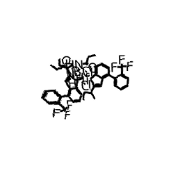 CCC(=O)N[B](NC(=O)CC)[Hf]([Cl])([Cl])([CH]1C(C(C)CC)=Cc2c(-c3ccccc3C(F)(F)F)cccc21)[CH]1C(C(C)CC)=Cc2c(-c3ccccc3C(F)(F)F)cccc21